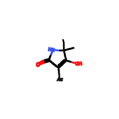 CC(=O)C1=C(O)C(C)(C)NC1=O